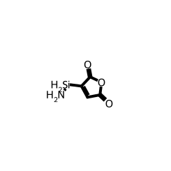 N[SiH2]C1=CC(=O)OC1=O